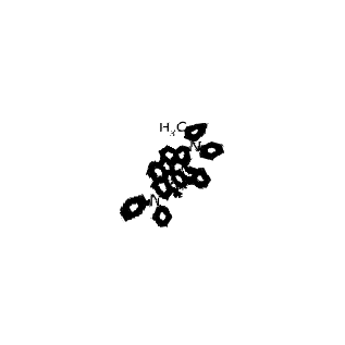 Cc1cccc(N(c2ccccc2)c2ccc3c4c(ccc3c2)-c2ccc3cc(N(c5ccccc5)c5ccccc5)ccc3c2C42c3ccccc3-c3c2ccc2ccccc32)c1